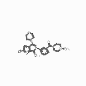 CC1c2sc(Cl)cc2C(N2CCOCC2)=CN1c1cccc(C(=O)N2CCN(C)CC2)c1